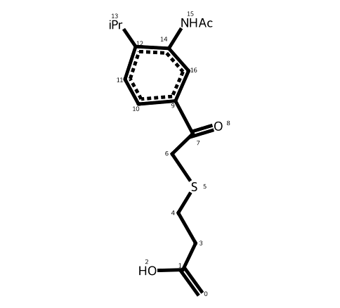 C=C(O)CCSCC(=O)c1ccc(C(C)C)c(NC(C)=O)c1